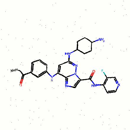 CNC(=O)c1cccc(Nc2cc(NC3CCC(N)CC3)nn3c(C(=O)Nc4ccncc4F)cnc23)c1